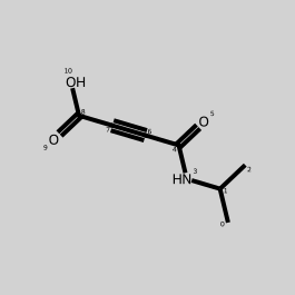 CC(C)NC(=O)C#CC(=O)O